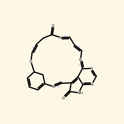 O=C1C/C=C\OC2C=CC=C(C2)/N=C/C2=c3c(ncn\c3=N/C=C/C=N/1)NC2=O